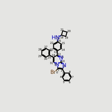 Brc1c(-c2ccccc2)nc2nc(-c3ccc(NC4CCC4)cc3)c(-c3ccccc3)cn12